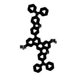 Cc1ccc2c(-c3ccc4c(c3)oc3cc(N(c5ccccc5)c5ccccc5)ccc34)cc3c4cc(C)cc5c4c(cc3c2c1)-c1ccc(N(c2ccccc2)c2ccccc2)cc1O5